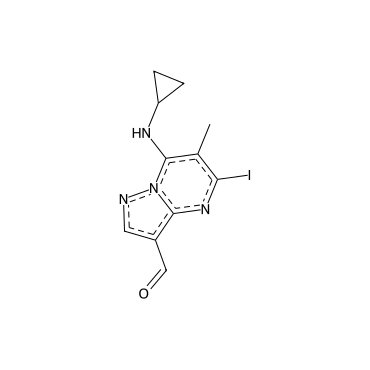 Cc1c(I)nc2c(C=O)cnn2c1NC1CC1